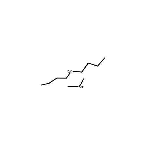 CCC[CH2][Sn][CH2]CCC.[CH3][Sn][CH3]